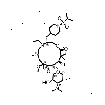 CCN1C[C@H](C)C[C@@](C)(OC)[C@H](O[C@@H]2O[C@H](C)C[C@H](N(C)C)[C@H]2O)[C@@H](C)C(=O)C(C)(C)C(=O)OC[C@H]1CC1CCN(S(=O)(=O)C(C)C)CC1